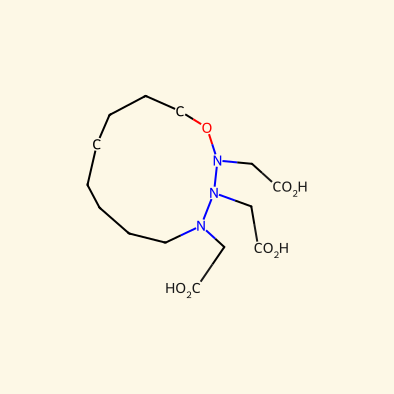 O=C(O)CN1CCCCCCCCON(CC(=O)O)N1CC(=O)O